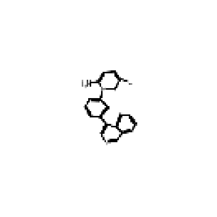 NC1=CC=C(O)CN1c1cccc(-c2cncc3ccccc23)c1